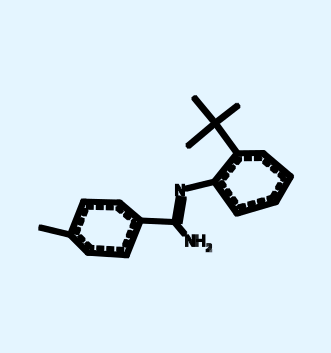 Cc1ccc(C(N)=Nc2ccccc2C(C)(C)C)cc1